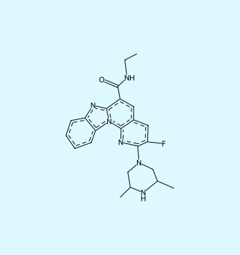 CCNC(=O)c1cc2cc(F)c(N3CC(C)NC(C)C3)nc2n2c1nc1ccccc12